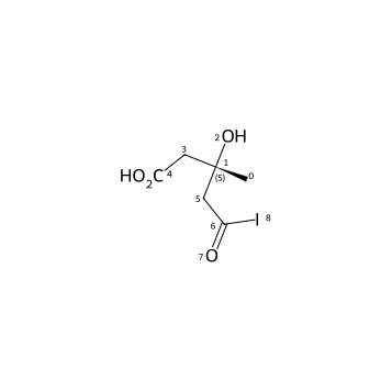 C[C@](O)(CC(=O)O)CC(=O)I